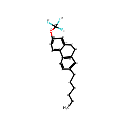 CCCCCCc1ccc2c(c1)CCc1cc(OC(F)(F)F)ccc1-2